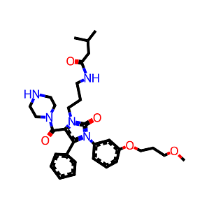 COCCCOc1cccc(-n2c(-c3ccccc3)c(C(=O)N3CCNCC3)n(CCCNC(=O)CC(C)C)c2=O)c1